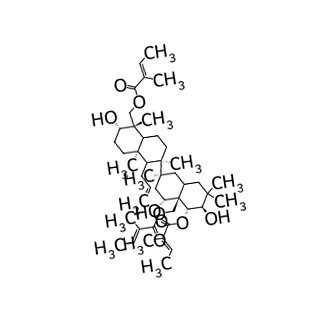 C=CCC1[C@@]2(C)CC[C@H](O)[C@](C)(COC(=O)/C(C)=C/C)C2CC[C@@]1(C)[C@@]1(C)CC2CC(C)(C)[C@@H](O)[C@H](OC(=O)/C(C)=C/C)[C@]2(COC(=O)/C(C)=C/C)[C@H](O)C1